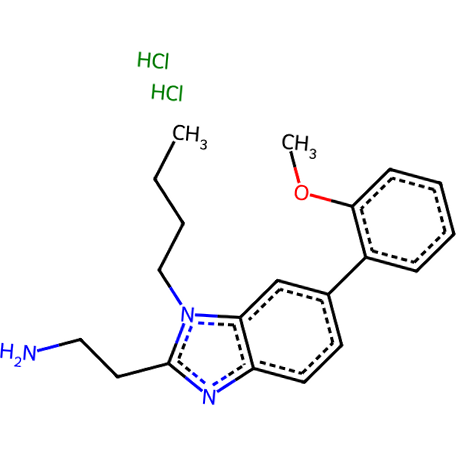 CCCCn1c(CCN)nc2ccc(-c3ccccc3OC)cc21.Cl.Cl